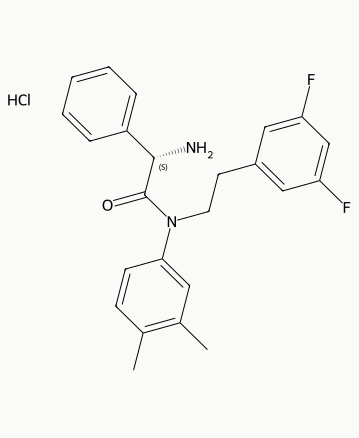 Cc1ccc(N(CCc2cc(F)cc(F)c2)C(=O)[C@@H](N)c2ccccc2)cc1C.Cl